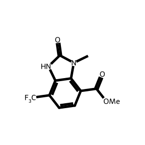 COC(=O)c1ccc(C(F)(F)F)c2[nH]c(=O)n(C)c12